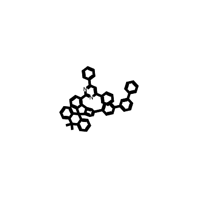 CC1(C)c2ccccc2C2(c3ccc(-c4ccc(-c5cccc(-c6ccccc6)c5)cc4)cc3-c3c(-c4nc(-c5ccccc5)cc(-c5ccccc5)n4)cccc32)c2ccccc21